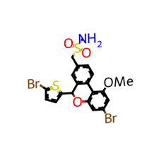 COc1cc(Br)cc2c1-c1ccc(CS(N)(=O)=O)cc1C(c1ccc(Br)s1)O2